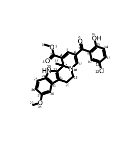 COC(=O)C1=CC(C(=O)c2cc(Cl)ccc2O)=CN2CCc3c([nH]c4ccc(OC)cc34)C12C